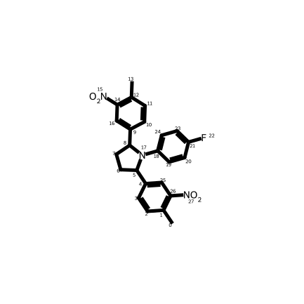 Cc1ccc(C2CCC(c3ccc(C)c([N+](=O)[O-])c3)N2c2ccc(F)cc2)cc1[N+](=O)[O-]